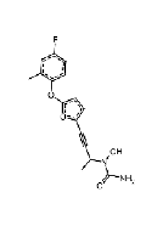 Cc1cc(F)ccc1Oc1ccc(C#CC(C)N(O)C(N)=O)o1